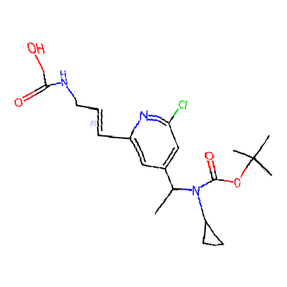 CC(c1cc(Cl)nc(/C=C/CNC(=O)O)c1)N(C(=O)OC(C)(C)C)C1CC1